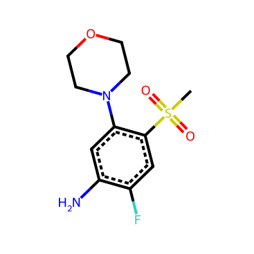 CS(=O)(=O)c1cc(F)c(N)cc1N1CCOCC1